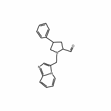 O=CC1CC(c2ccccc2)CN1Cc1cnc2ccccn12